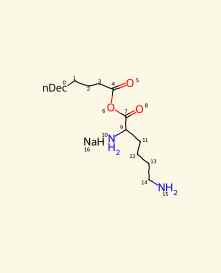 CCCCCCCCCCCCCC(=O)OC(=O)C(N)CCCCN.[NaH]